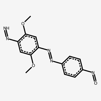 COc1cc(N=Nc2ccc(N=O)cc2)c(OC)cc1N=N